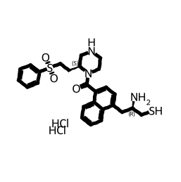 Cl.Cl.N[C@@H](CS)Cc1ccc(C(=O)N2CCNC[C@@H]2CCS(=O)(=O)c2ccccc2)c2ccccc12